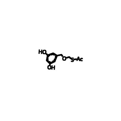 CC(=O)SCOCc1cc(O)cc(O)c1